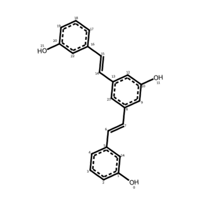 Oc1cccc(/C=C/c2cc(O)cc(/C=C/c3cccc(O)c3)c2)c1